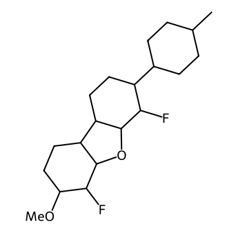 COC1CCC2C3CCC(C4CCC(C)CC4)C(F)C3OC2C1F